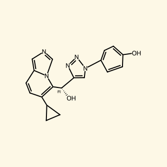 Oc1ccc(-n2cc([C@H](O)c3c(C4CC4)ccc4cncn34)nn2)cc1